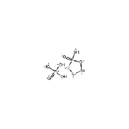 O=P1(O)O[Se][Se]O1.OP(O)(O)=[Se]